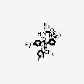 Cc1nc(F)ccc1Oc1cc(C(F)(F)F)ccc1C(=O)Nc1cccc([S@@](C)(=O)=NC(=O)[C@@H](C)N)c1